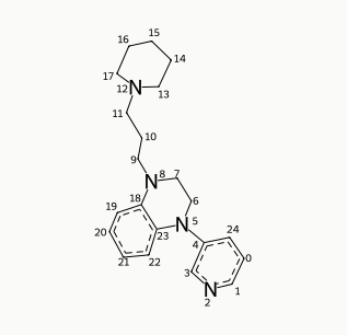 c1cncc(N2CCN(CCCN3CCCCC3)c3ccccc32)c1